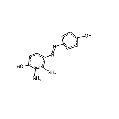 Nc1c(O)ccc(N=Nc2ccc(O)cc2)c1N